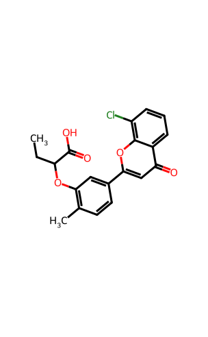 CCC(Oc1cc(-c2cc(=O)c3cccc(Cl)c3o2)ccc1C)C(=O)O